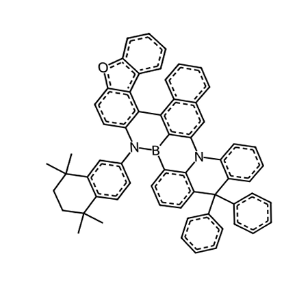 CC1(C)CCC(C)(C)c2cc(N3B4c5cccc6c5N(c5ccccc5C6(c5ccccc5)c5ccccc5)c5cc6ccccc6c(c54)-c4c3ccc3oc5ccccc5c43)ccc21